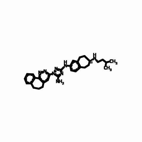 CC(C)CCN[C@H]1CCc2ccc(Nc3nc(N)n(-c4cc5c(nn4)-c4ccccc4CCC5)n3)cc2CC1